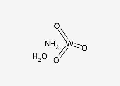 N.O.[O]=[W](=[O])=[O]